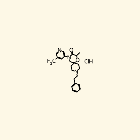 CC1OC2(CCN(CCc3ccccc3)CC2)CN(c2cncc(C(F)(F)F)c2)C1=O.Cl